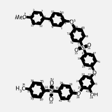 COc1ccc(-c2ccc(Oc3ccc(S(=O)(=O)c4ccc(Oc5ccc(Oc6ccc(S(=O)(=O)c7ccc(C)cc7)cc6)c(O)c5)cc4)cc3)cc2)cc1